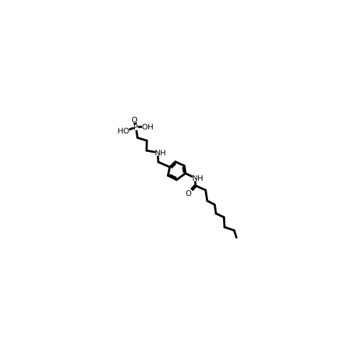 CCCCCCCCC(=O)Nc1ccc(CNCCCP(=O)(O)O)cc1